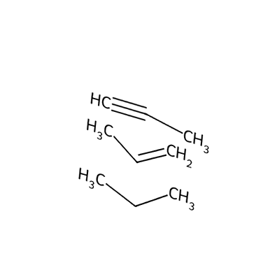 C#CC.C=CC.CCC